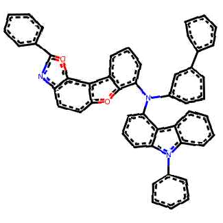 c1ccc(-c2cccc(N(c3cccc4c3oc3ccc5nc(-c6ccccc6)oc5c34)c3cccc4c3c3ccccc3n4-c3ccccc3)c2)cc1